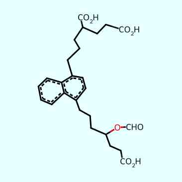 O=COC(CCCc1ccc(CCCC(CCC(=O)O)C(=O)O)c2ccccc12)CCC(=O)O